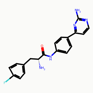 Nc1nccc(-c2ccc(NC(=O)[C@H](N)Cc3ccc(F)cc3)cc2)n1